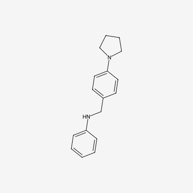 c1ccc(NCc2ccc(N3CCCC3)cc2)cc1